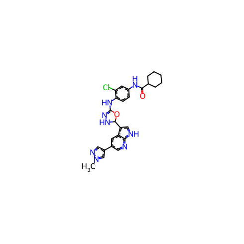 Cn1cc(-c2cnc3[nH]cc(C4NN=C(Nc5ccc(NC(=O)C6CCCCC6)cc5Cl)O4)c3c2)cn1